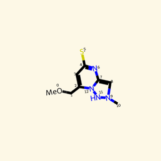 COCC1=CC([S])=NC2=CN(C)NN12